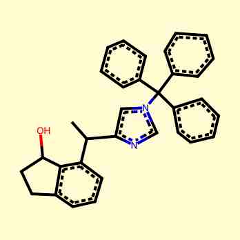 CC(c1cn(C(c2ccccc2)(c2ccccc2)c2ccccc2)cn1)c1cccc2c1C(O)CC2